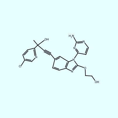 CC(O)(C#Cc1ccc2nc(OCCO)n(-c3ccnc(N)n3)c2c1)c1ccc(Cl)cn1